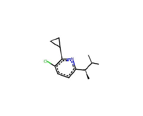 CC(C)[C@@H](C)c1ccc(Cl)c(C2CC2)n1